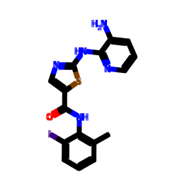 Cc1cccc(I)c1NC(=O)c1cnc(Nc2ncccc2N)s1